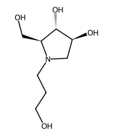 OCCCN1C[C@H](O)[C@@H](O)[C@@H]1CO